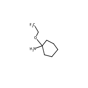 NC1(OCC(F)(F)F)CCCCC1